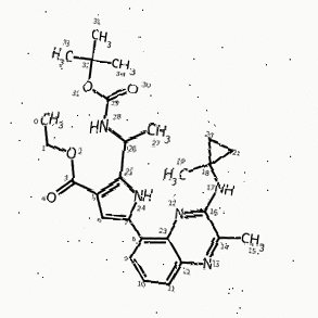 CCOC(=O)c1cc(-c2cccc3nc(C)c(NC4(C)CC4)nc23)[nH]c1C(C)NC(=O)OC(C)(C)C